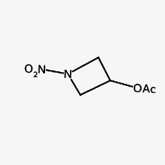 CC(=O)OC1CN([N+](=O)[O-])C1